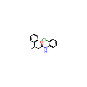 CC(CC(=O)Nc1ccccc1Cl)c1ccccc1